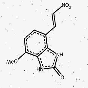 COc1ccc(C=C[N+](=O)[O-])c2[nH]c(=O)[nH]c12